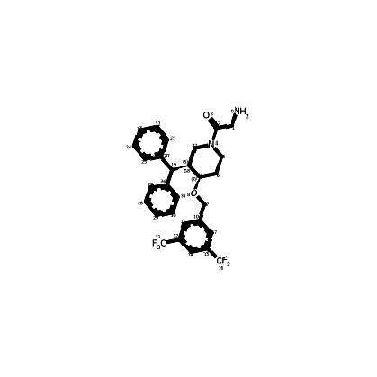 NCC(=O)N1CC[C@@H](OCc2cc(C(F)(F)F)cc(C(F)(F)F)c2)[C@@H](C(c2ccccc2)c2ccccc2)C1